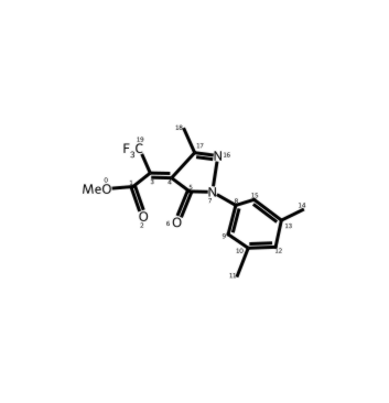 COC(=O)C(=C1C(=O)N(c2cc(C)cc(C)c2)N=C1C)C(F)(F)F